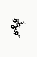 CCOc1cc(F)c(Cn2nc(-c3ncc(OCC(C)=O)c(Nc4ccncc4)n3)c3ccccc32)c(F)c1